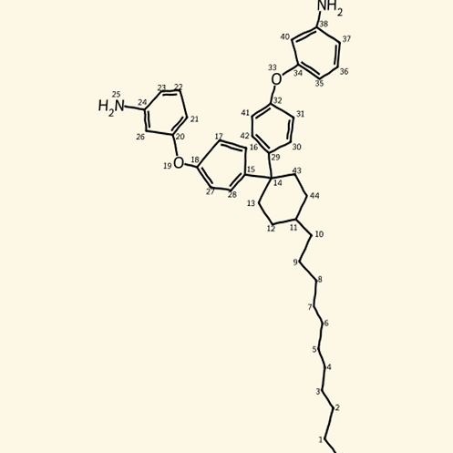 CCCCCCCCCCCC1CCC(c2ccc(Oc3cccc(N)c3)cc2)(c2ccc(Oc3cccc(N)c3)cc2)CC1